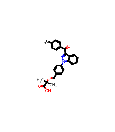 Cc1ccc(C(=O)c2nn(-c3ccc(COC(C)(C)C(=O)O)cc3)c3ccccc23)cc1